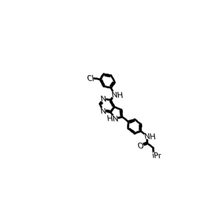 CC(C)CC(=O)Nc1ccc(-c2cc3c(Nc4cccc(Cl)c4)ncnc3[nH]2)cc1